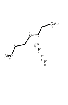 COCCOCCOC.[B+3].[F-].[F-].[F-]